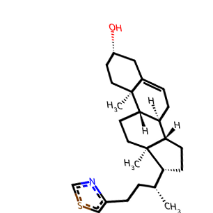 C[C@H](CCc1cscn1)[C@H]1CC[C@H]2[C@@H]3CC=C4C[C@@H](O)CC[C@]4(C)[C@H]3CC[C@]12C